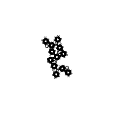 c1ccc(-c2c3c4cccc5c6ccc(N(c7ccccc7)c7ccc8oc9ccccc9c8c7)cc6n(c3cc3c6cccc7c8ccc(N(c9ccccc9)c9ccc%10oc%11ccccc%11c%10c9)cc8n(c23)c76)c54)cc1